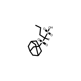 CCCC(F)(S(=O)(=O)O)S(=O)(=O)C12CC3CC(CC(C3)C1)C2